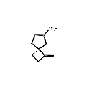 C=C1CC[C@@]12CCN(C(=O)O)C2